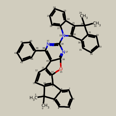 CC1(C)c2ccccc2-c2c1ccc1c2oc2nc(-n3c4c(c5ccccc53)C(C)(C)c3ccccc3-4)nc(-c3ccccc3)c21